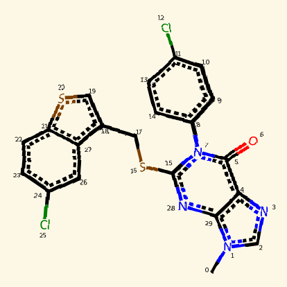 Cn1cnc2c(=O)n(-c3ccc(Cl)cc3)c(SCc3csc4ccc(Cl)cc34)nc21